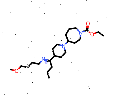 CCC/C(=N\CCCCOC)C1CCN(C2CCCN(C(=O)OCC)CC2)CC1